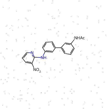 CC(=O)Nc1cccc(-c2cccc(Nc3ncccc3[N+](=O)[O-])c2)c1